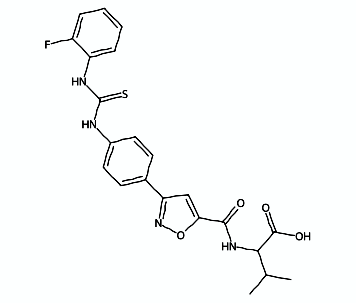 CC(C)C(NC(=O)c1cc(-c2ccc(NC(=S)Nc3ccccc3F)cc2)no1)C(=O)O